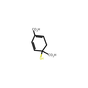 O=C(O)C1=CCC(S)(C(=O)O)C=C1